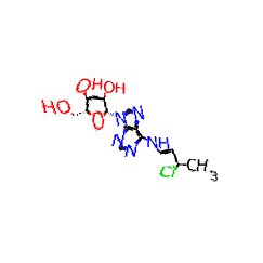 CC(Cl)C=CNc1ncnc2c1ncn2[C@@H]1O[C@H](CO)[C@@H](O)[C@H]1O